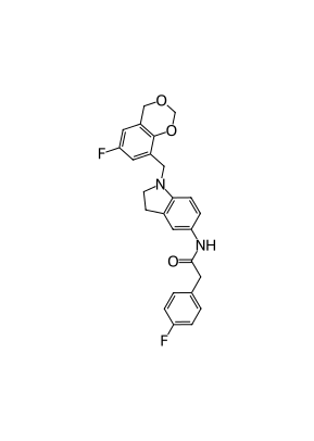 O=C(Cc1ccc(F)cc1)Nc1ccc2c(c1)CCN2Cc1cc(F)cc2c1OCOC2